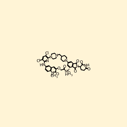 CNC(=O)COc1cc2cc(Nc3nc(N4CCN(CC5CCN(c6ccc7c(c6)C(=O)N(C6CCC(=O)NC6=O)C7=O)CC5)CC4)c(Cl)cc3Cl)ccc2n(C)c1=O